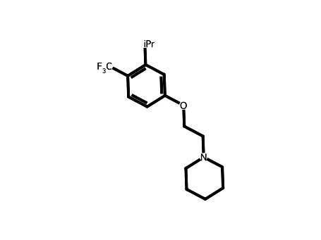 CC(C)c1cc(OCCN2CCCCC2)ccc1C(F)(F)F